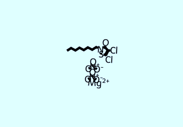 CCCCCCCCn1sc(Cl)c(Cl)c1=O.O=[N+]([O-])[O-].O=[N+]([O-])[O-].[Mg+2]